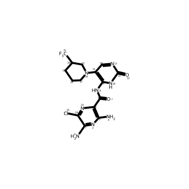 Nc1nc(N)c(C(=O)Nc2[nH]c(=O)ncc2N2CCCC(C(F)(F)F)C2)nc1Cl